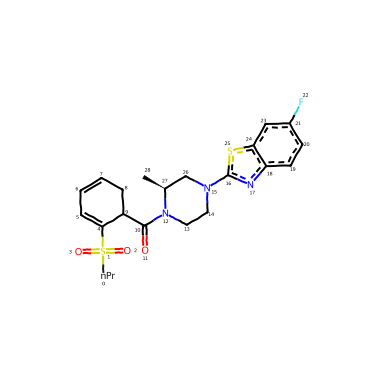 CCCS(=O)(=O)C1=CC=CCC1C(=O)N1CCN(c2nc3ccc(F)cc3s2)C[C@@H]1C